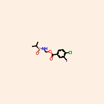 CC(C)[S+]([O-])NCOC(=O)c1ccc(Cl)c(I)c1